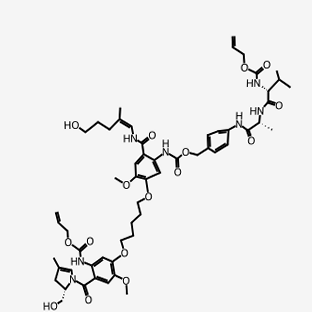 C=CCOC(=O)Nc1cc(OCCCCCOc2cc(NC(=O)OCc3ccc(NC(=O)[C@@H](C)NC(=O)[C@H](NC(=O)OCC=C)C(C)C)cc3)c(C(=O)N/C=C(/C)CCCO)cc2OC)c(OC)cc1C(=O)N1C=C(C)C[C@H]1CO